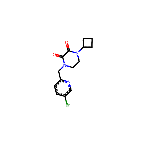 O=C1C(=O)N(C2CCC2)CCN1Cc1ccc(Br)cn1